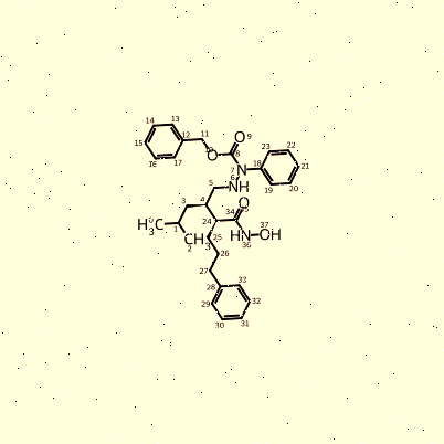 CC(C)C[C@@H](CNN(C(=O)OCc1ccccc1)c1ccccc1)[C@H](CCCc1ccccc1)C(=O)NO